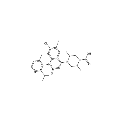 Cc1ccnc(C(C)C)c1-n1c(=O)nc(N2CC(C)N(C(=O)O)CC2C)c2cc(F)c(Cl)nc21